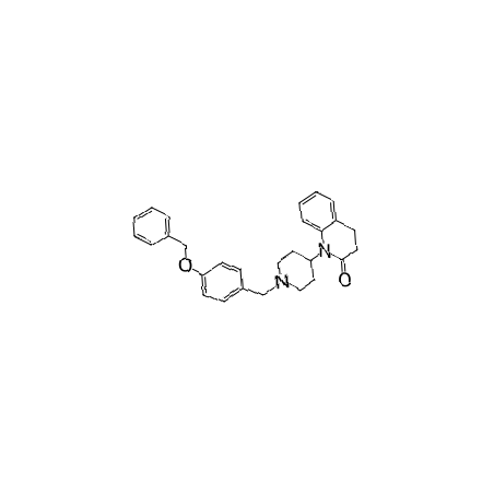 O=C1CCc2ccccc2N1C1CCN(Cc2ccc(OCc3ccccc3)cc2)CC1